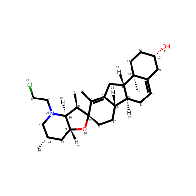 CC1=C2C[C@H]3[C@@H](CC=C4C[C@@H](O)CC[C@@]43C)[C@@H]2CC[C@]12O[C@@H]1C[C@H](C)CN(CCCl)[C@H]1[C@H]2C